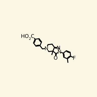 Cc1cc(N2N=C3CCN(Cc4ccc(C(=O)O)cc4)CC3(C)C2=O)ccc1F